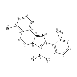 CCN(CC)c1c(-c2ccccc2C)nc2c3cccc(Br)c3ccn12